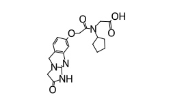 O=C(O)CN(C(=O)COc1ccc2c(c1)N=C1NC(=O)CN1C2)C1CCCC1